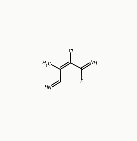 C/C(C=N)=C(\Cl)C(=N)F